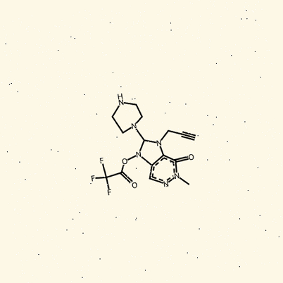 C#CCN1c2c(cnn(C)c2=O)N(OC(=O)C(F)(F)F)C1N1CCNCC1